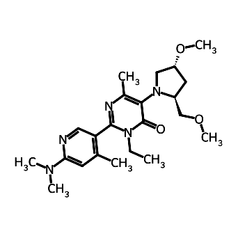 CCn1c(-c2cnc(N(C)C)cc2C)nc(C)c(N2C[C@H](OC)C[C@H]2COC)c1=O